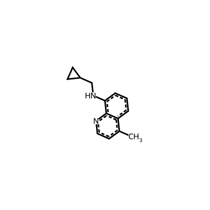 Cc1ccnc2c(NCC3CC3)cccc12